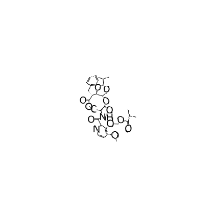 COc1ccnc(C(=O)N[C@H]2COC(=O)[C@H](Cc3ccccc3)[C@@H](OC(=O)C(C)C)C(C)OC2=O)c1OCOC(=O)C(C)C